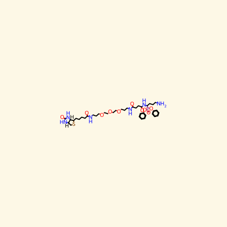 NCCCC(NC(=O)CCC(=O)NCCCOCCOCCOCCCNC(=O)CCCCC1SC[C@@H]2NC(=O)N[C@H]12)P(=O)(Oc1ccccc1)Oc1ccccc1